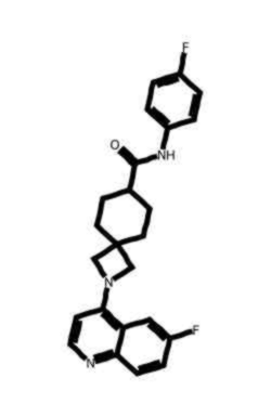 O=C(Nc1ccc(F)cc1)C1CCC2(CC1)CN(c1ccnc3ccc(F)cc13)C2